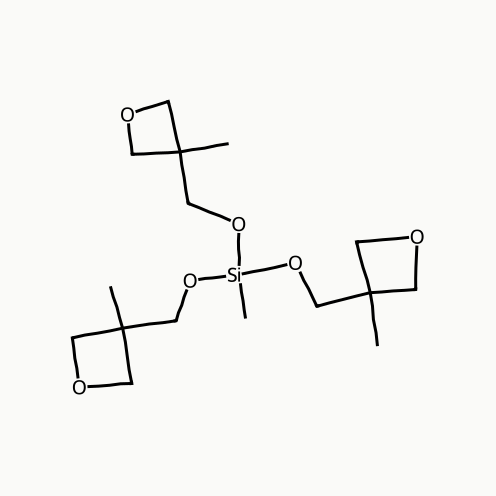 CC1(CO[Si](C)(OCC2(C)COC2)OCC2(C)COC2)COC1